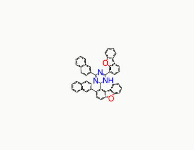 c1ccc2cc(C3=NC(c4c(-c5ccc6ccccc6c5)ccc5oc6ccccc6c45)NC(c4cccc5c4oc4ccccc45)=N3)ccc2c1